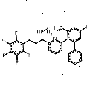 CPC(CCc1c(F)c(F)c(F)c(F)c1F)c1cccc(-c2c(C)cc(I)cc2-c2ccccc2)n1